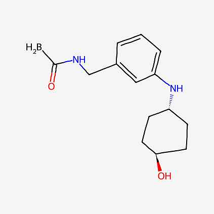 BC(=O)NCc1cccc(N[C@H]2CC[C@H](O)CC2)c1